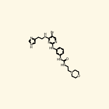 O=C(NCCN1CCOCC1)Nc1cccc(Nc2ncc(Br)c(NCCc3c[nH]cn3)n2)c1